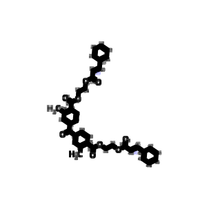 Cc1cc(C(=O)c2ccc(C(=O)OCCOC(=O)/C=C/c3ccccc3)c(C)c2)ccc1C(=O)OCCOC(=O)/C=C/c1ccccc1